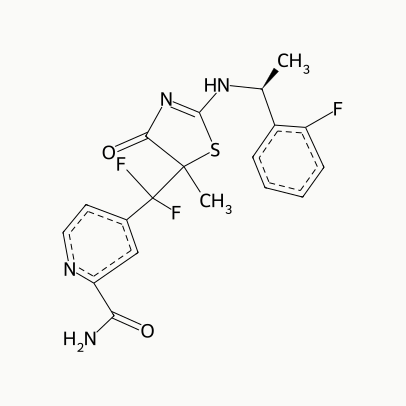 C[C@H](NC1=NC(=O)C(C)(C(F)(F)c2ccnc(C(N)=O)c2)S1)c1ccccc1F